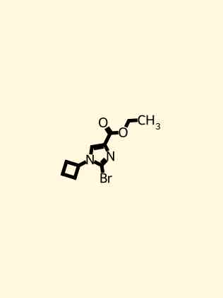 CCOC(=O)c1cn(C2CCC2)c(Br)n1